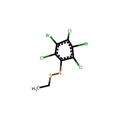 CCSSc1c(Cl)c(Br)c(Cl)c(Br)c1Cl